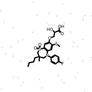 CCCCC1(C)CN(c2ccc(F)cc2)c2cc(SC)c(OCC(O)C(=O)O)cc2S(=O)(=O)C1